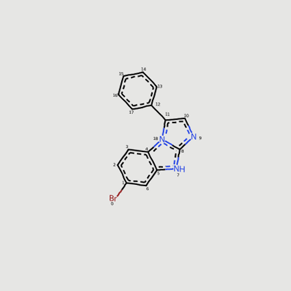 Brc1ccc2c(c1)[nH]c1ncc(-c3ccccc3)n12